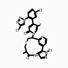 CCn1ncc2c1-c1ccnc(c1)C(n1cc(F)c(-c3cc(Cl)ccc3-n3cc(Cl)nn3)cc1=O)CCCC(C)C(=O)N2